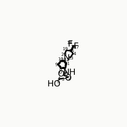 O=S(=O)(CCO)Nc1cccc(N2CCC(=C(F)F)CC2)c1